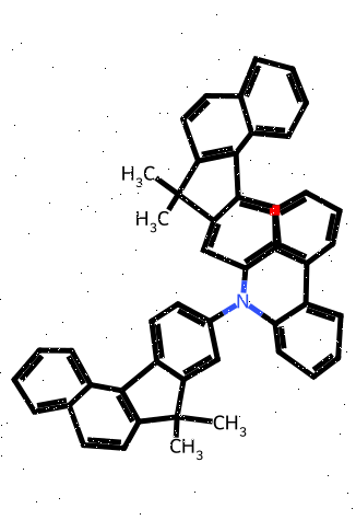 CC1(C)c2cc(N(c3ccc4c(c3)C(C)(C)c3ccc5ccccc5c3-4)c3ccccc3-c3ccccc3)ccc2-c2c1ccc1ccccc21